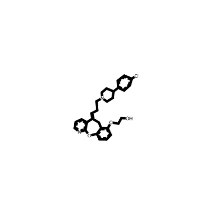 OCCOc1cccc2c1CC(=CCCN1CCC(c3ccc(Cl)cc3)CC1)c1cccnc1O2